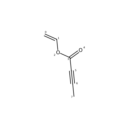 C=COC(=O)C#CC